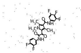 Cc1c(C(=O)Nc2cc(F)c(F)c(F)c2)c(C)n(C)c1C(=O)C(=O)Nc1ccc(F)c(F)c1